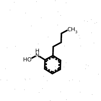 CCCCc1ccccc1NO